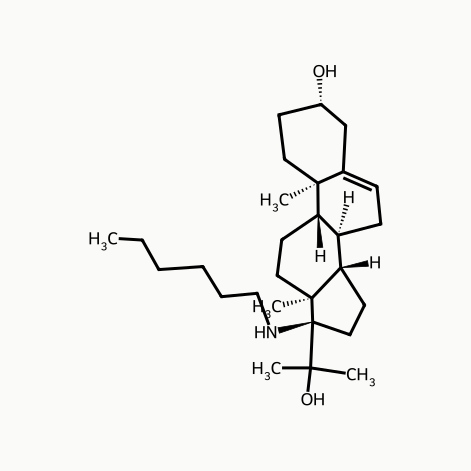 CCCCCCN[C@]1(C(C)(C)O)CC[C@H]2[C@@H]3CC=C4C[C@@H](O)CC[C@]4(C)[C@H]3CC[C@@]21C